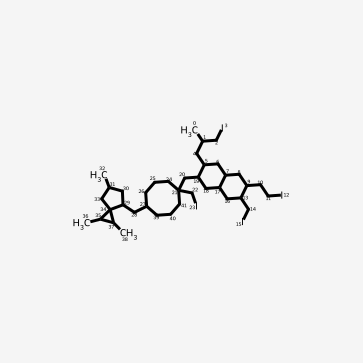 CC(CI)CC1CC2CC(CCI)C(CI)CC2CC1CC1(CI)CCCC(CC2CC(C)CC23C(C)C3C)CCC1